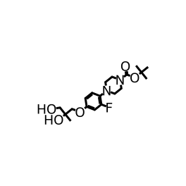 CC(O)(CO)COc1ccc(N2CCN(C(=O)OC(C)(C)C)CC2)c(F)c1